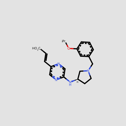 CC(C)Oc1cccc(CN2CC[C@@H](Nc3cnc(C=CC(=O)O)cn3)C2)c1